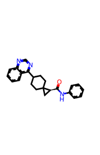 O=C(Nc1ccccc1)[C@H]1CC12CCC(c1ncnc3ccccc13)CC2